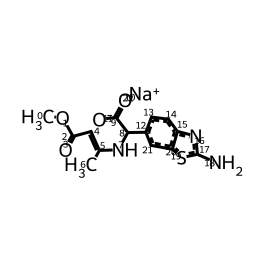 COC(=O)C=C(C)NC(C(=O)[O-])c1ccc2nc(N)sc2c1.[Na+]